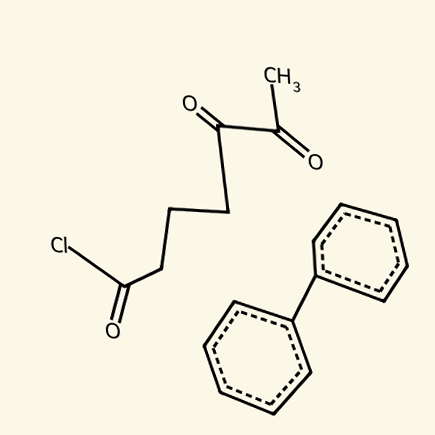 CC(=O)C(=O)CCCC(=O)Cl.c1ccc(-c2ccccc2)cc1